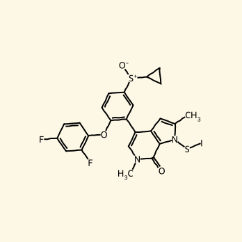 Cc1cc2c(-c3cc([S+]([O-])C4CC4)ccc3Oc3ccc(F)cc3F)cn(C)c(=O)c2n1SI